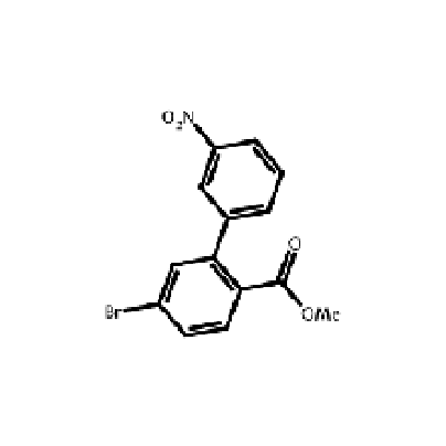 COC(=O)c1ccc(Br)cc1-c1cccc([N+](=O)[O-])c1